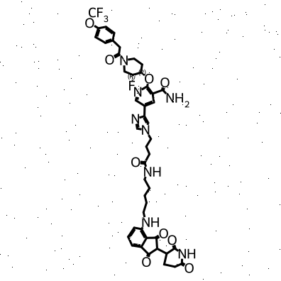 NC(=O)c1cc(-c2cn(CCCC(=O)NCCCCCNc3cccc4c3C(=O)C(C3CCC(=O)NC3=O)C4=O)cn2)cnc1O[C@@H]1CCN(C(=O)Cc2ccc(OC(F)(F)F)cc2)C[C@H]1F